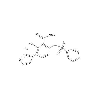 COC(=O)c1c(CS(=O)(=O)c2ccccc2)ccc(-c2ccoc2C(C)=O)c1O